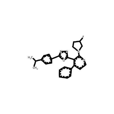 CC(C)c1ccc(-c2nnc(-c3c(-c4ccccc4)ccnc3N3CCC(F)C3)o2)cc1